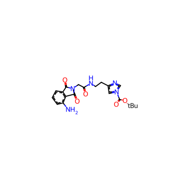 CC(C)(C)OC(=O)n1cnc(CCNC(=O)CN2C(=O)c3cccc(N)c3C2=O)c1